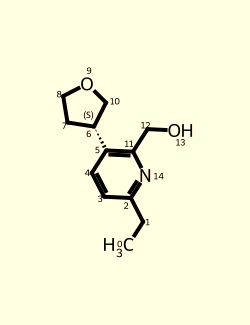 CCc1ccc([C@@H]2CCOC2)c(CO)n1